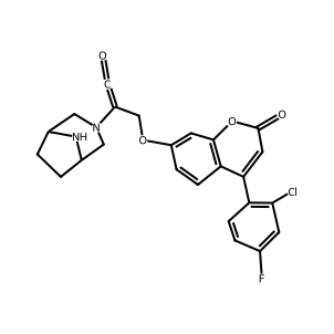 O=C=C(COc1ccc2c(-c3ccc(F)cc3Cl)cc(=O)oc2c1)N1CC2CCC(C1)N2